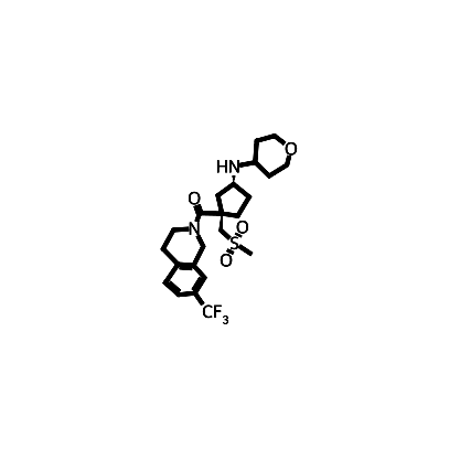 CS(=O)(=O)C[C@]1(C(=O)N2CCc3ccc(C(F)(F)F)cc3C2)CC[C@@H](NC2CCOCC2)C1